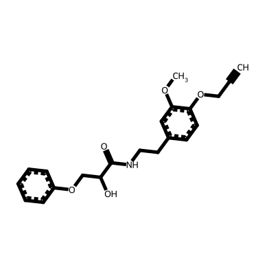 C#CCOc1ccc(CCNC(=O)C(O)COc2ccccc2)cc1OC